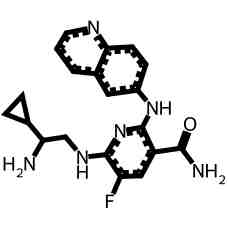 NC(=O)c1cc(F)c(NCC(N)C2CC2)nc1Nc1ccc2ncccc2c1